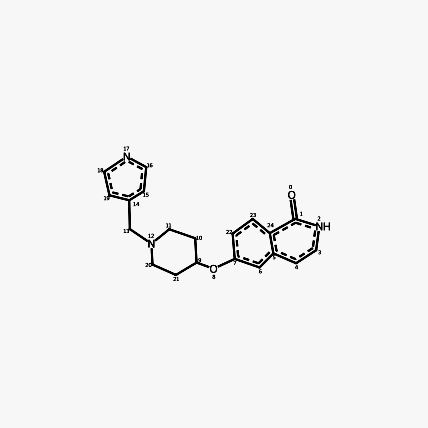 O=c1[nH]ccc2cc(OC3CCN(Cc4ccncc4)CC3)ccc12